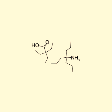 CCC(CC)(CC)C(=O)O.CCCC(N)(CCC)CCC